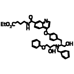 CCOC(=O)CCCNC(=O)c1ccc2c(Oc3ccc(C[C@@H](CO)N(Cc4ccccc4)C[C@H](O)COc4ccccc4)cc3)ccnc2c1